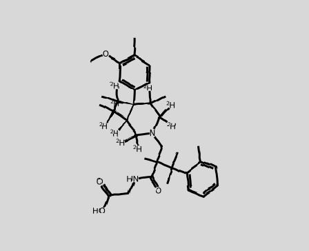 [2H]C1([2H])N(CC(C)(C(=O)NCC(=O)O)C(C)(C)c2ccccc2C)C([2H])([2H])[C@]([2H])(C([2H])([2H])C)[C@@](c2ccc(C)c(OC)c2)(C([2H])(C)C)C1([2H])C